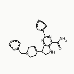 NC(=O)c1nc(-c2ccccc2)nc2c1NCC2C1=CCN(Cc2ccccc2)CC1